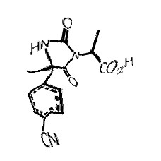 CC(C(=O)O)N1C(=O)NC(C)(c2ccc(C#N)cc2)C1=O